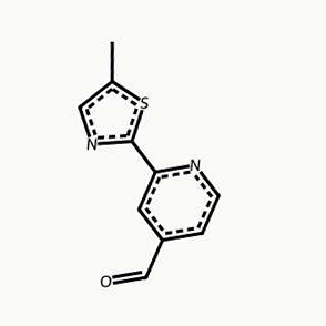 Cc1cnc(-c2cc(C=O)ccn2)s1